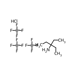 CCC(N)(CC)CC.Cl.F[B-](F)(F)F.F[B-](F)(F)F.F[B-](F)(F)F